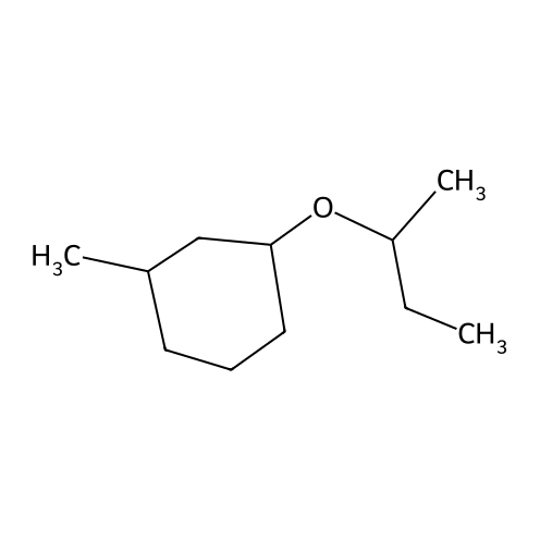 CCC(C)OC1CCCC(C)C1